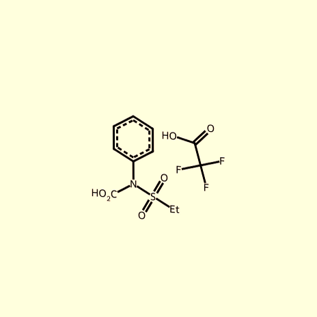 CCS(=O)(=O)N(C(=O)O)c1ccccc1.O=C(O)C(F)(F)F